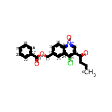 CCCC(=O)c1c[n+]([O-])c2ccc(COC(=O)c3ccccc3)cc2c1Cl